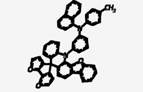 Cc1ccc(N(c2cccc(N3c4ccccc4C4(c5ccoc5-c5occc54)c4ccc5c(oc6ccccc65)c43)c2)c2cccc3ccccc23)cc1